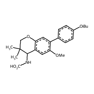 COc1cc2c(cc1-c1ccc(OCC(C)C)cc1)OCC(C)(C)C2NC(=O)O